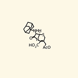 CC(=O)OCC1=C(C(=O)O)N2C(=O)[C@@H](NC34CC5CC(CC(C5)C3)C4)[C@H]2SC1